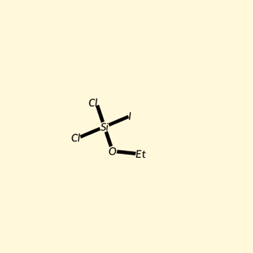 CCO[Si](Cl)(Cl)I